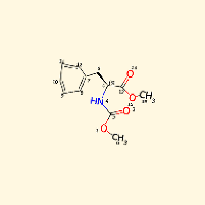 COC(=O)N[C@@H](Cc1ccccc1)C(=O)OC